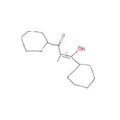 C/C(C(=O)C1CCCCC1)=C(/O)C1CCCCC1